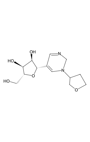 OC[C@H]1O[C@@H](C2=CN(C3CCOC3)CN=C2)[C@H](O)[C@@H]1O